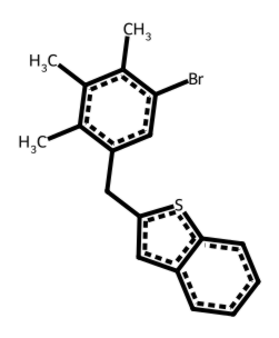 Cc1c(Br)cc(Cc2cc3ccccc3s2)c(C)c1C